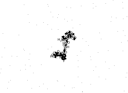 CC[C@@]1(O)C(=O)OCc2c1cc1n(c2=O)Cc2c-1nc1cc(F)c(C)c3c1c2[C@@H](NC(=O)COCNC(=O)CNC(=O)[C@H](CO[C@@H]1O[C@H](COC(C)=O)[C@H](OC(C)=O)[C@H](OC(C)=O)[C@H]1OC(C)=O)NC(=O)[C@@H](N)C(C)C)CC3